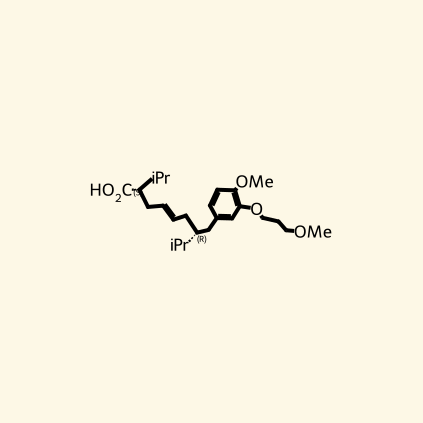 COCCCOc1cc(C[C@@H](CC=CC[C@H](C(=O)O)C(C)C)C(C)C)ccc1OC